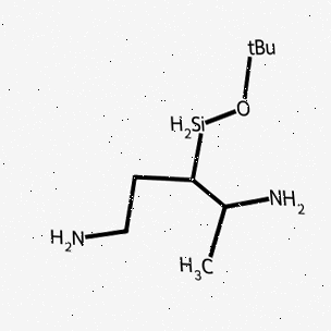 CC(N)C(CCN)[SiH2]OC(C)(C)C